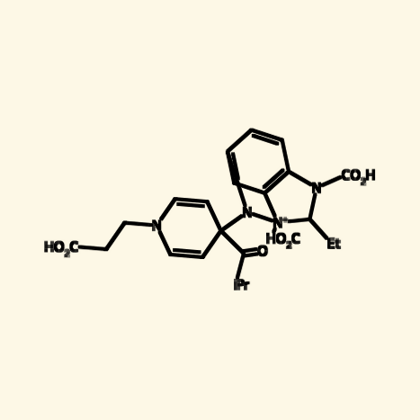 CCC1N(C(=O)O)c2ccc3cc2[N+]1(C(=O)O)N3C1(C(=O)C(C)C)C=CN(CCC(=O)O)C=C1